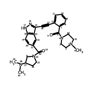 CN1CCN(C(=O)c2ccccc2C#Cc2n[nH]c3ccc(C(=O)N4CCC(N(C)C)C4)cc23)CC1